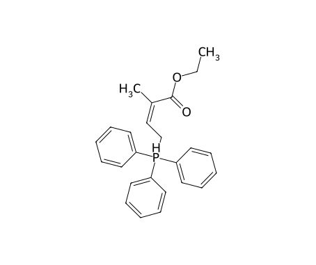 CCOC(=O)C(C)=CC[PH](c1ccccc1)(c1ccccc1)c1ccccc1